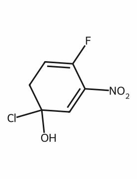 O=[N+]([O-])C1=CC(O)(Cl)CC=C1F